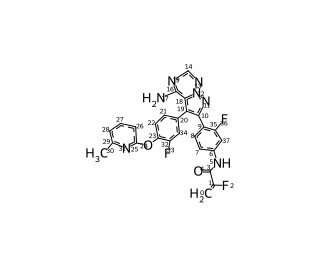 C=C(F)C(=O)Nc1ccc(-c2nn3ncnc(N)c3c2-c2ccc(Oc3cccc(C)n3)c(F)c2)c(F)c1